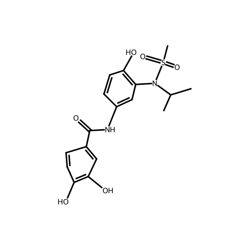 CC(C)N(c1cc(NC(=O)c2ccc(O)c(O)c2)ccc1O)S(C)(=O)=O